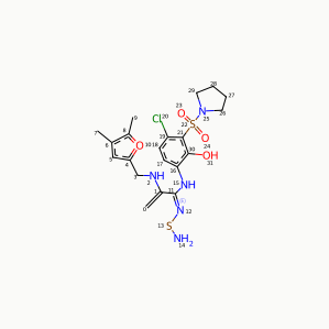 C=C(NCc1cc(C)c(C)o1)/C(=N\SN)Nc1ccc(Cl)c(S(=O)(=O)N2CCCC2)c1O